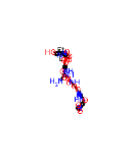 CCc1c2c(nc3ccc(O)cc13)-c1cc3c(c(=O)n1C2)COC(=O)[C@@]3(CC)OC(=O)OCc1ccc(NC(=O)[C@H](CCCCN)NC(=O)COCC(=O)NCCOCCOCCn2cc(CNC(=O)C3CCC(CN4C(=O)C=CC4=O)CC3)nn2)cc1